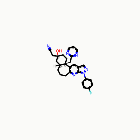 N#CC[C@]1(O)CC[C@]2(Cc3ncccn3)c3cc4cnn(-c5ccc(F)cc5)c4nc3CCC[C@@H]2C1